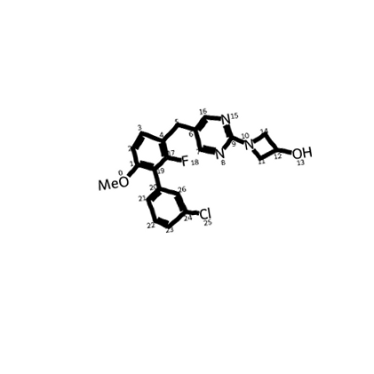 COc1ccc(Cc2cnc(N3CC(O)C3)nc2)c(F)c1-c1cccc(Cl)c1